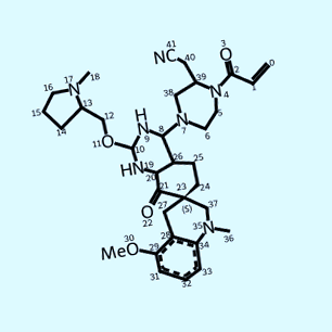 C=CC(=O)N1CCN(C2NC(OCC3CCCN3C)NC3C(=O)[C@@]4(CCC32)Cc2c(OC)cccc2N(C)C4)CC1CC#N